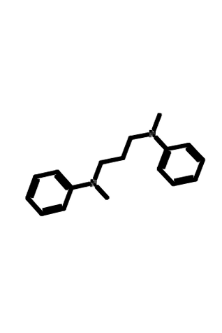 CN(CCCN(C)c1ccccc1)c1ccccc1